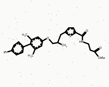 COC(=O)CCNC(=O)c1ccc(CC(C)COc2cc(C)c(-c3ccc(C(C)C)cc3)c(C)c2)s1